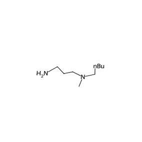 CCCCCN(C)CCCN